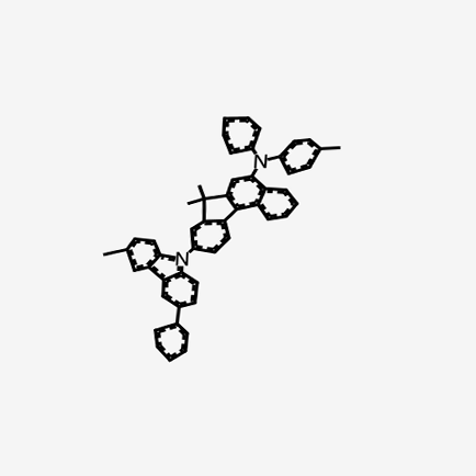 Cc1ccc(N(c2ccccc2)c2cc3c(c4ccccc24)-c2ccc(-n4c5ccc(C)cc5c5cc(-c6ccccc6)ccc54)cc2C3(C)C)cc1